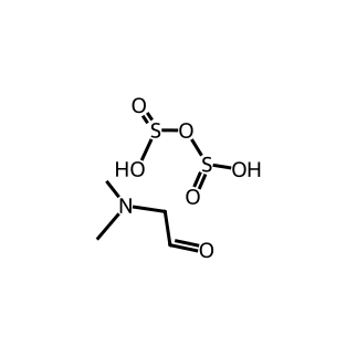 CN(C)CC=O.O=S(O)OS(=O)O